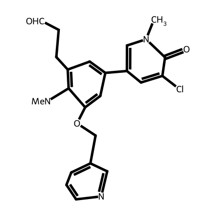 CNc1c(CCC=O)cc(-c2cc(Cl)c(=O)n(C)c2)cc1OCc1cccnc1